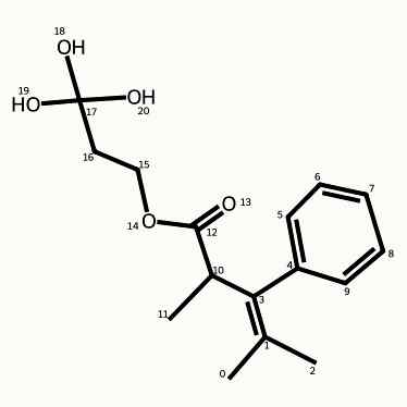 CC(C)=C(c1ccccc1)C(C)C(=O)OCCC(O)(O)O